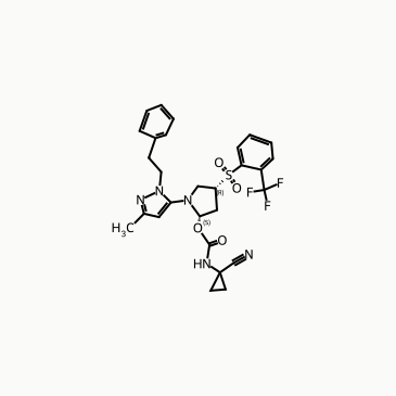 Cc1cc(N2C[C@H](S(=O)(=O)c3ccccc3C(F)(F)F)C[C@@H]2OC(=O)NC2(C#N)CC2)n(CCc2ccccc2)n1